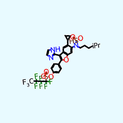 CC(C)CCCN(c1cc2oc(-c3ccc(OS(=O)(=O)C(F)(F)C(F)(F)C(F)(F)C(F)(F)F)cc3)c(-c3ncc[nH]3)c2cc1C1CC1)[SH](=O)=O